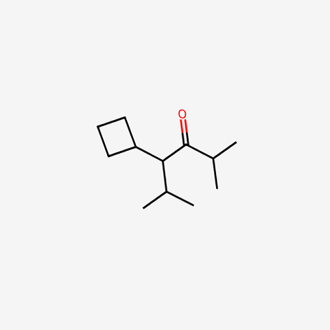 CC(C)C(=O)C(C(C)C)C1CCC1